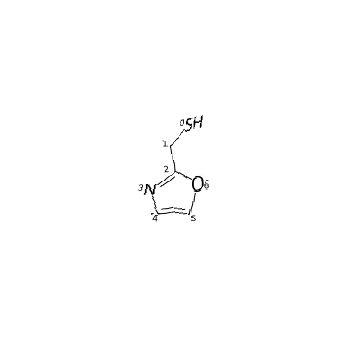 SCc1n[c]co1